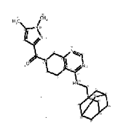 Cc1cc(C(=O)N2CCc3c(ncnc3NCC34CC5CC(CC(C5)C3)C4)C2)nn1C